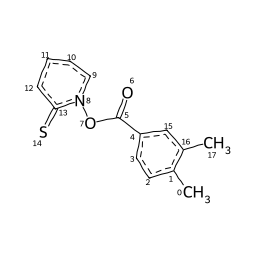 Cc1ccc(C(=O)On2ccccc2=S)cc1C